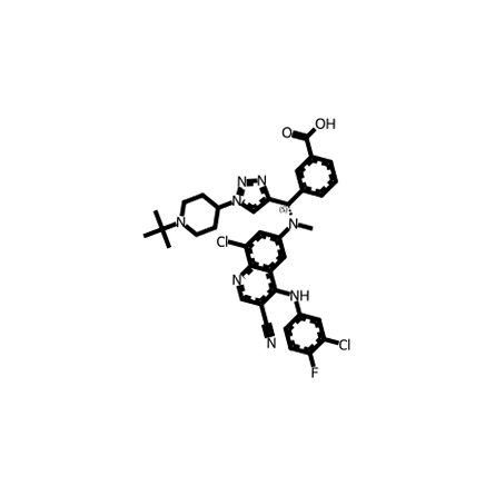 CN(c1cc(Cl)c2ncc(C#N)c(Nc3ccc(F)c(Cl)c3)c2c1)[C@@H](c1cccc(C(=O)O)c1)c1cn(C2CCN(C(C)(C)C)CC2)nn1